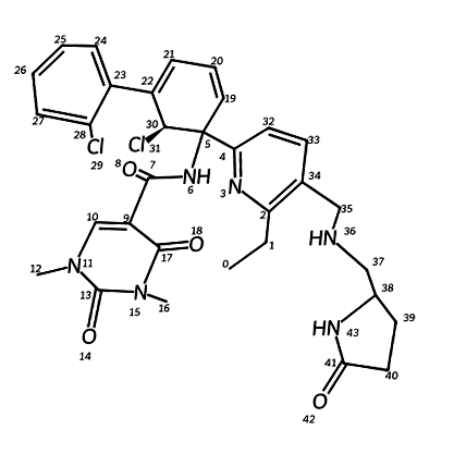 CCc1nc(C2(NC(=O)c3cn(C)c(=O)n(C)c3=O)C=CC=C(c3ccccc3Cl)[C@@H]2Cl)ccc1CNCC1CCC(=O)N1